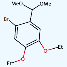 CCOc1cc(Br)c(C(OC)OC)cc1OCC